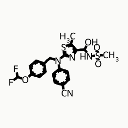 Cc1sc(N(Cc2ccc(OC(F)F)cc2)c2ccc(C#N)cc2)nc1C(O)NS(C)(=O)=O